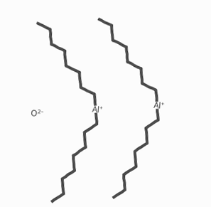 CCCCCCC[CH2][Al+][CH2]CCCCCCC.CCCCCCC[CH2][Al+][CH2]CCCCCCC.[O-2]